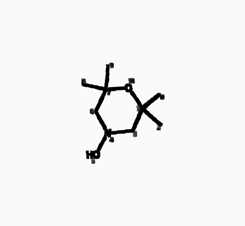 CC1(C)CN(O)CC(C)(C)O1